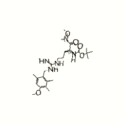 COc1cc(C)c(CNC(=N)NCCC[C@H](NC(=O)OC(C)(C)C)C(=O)N(C)OC)c(C)c1C